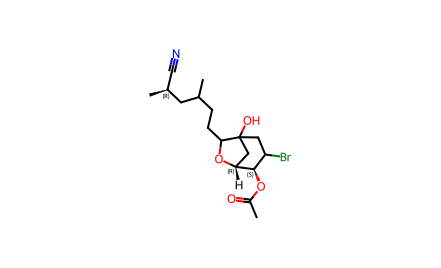 CC(=O)O[C@@H]1C(Br)CC2(O)C[C@H]1OC2CCC(C)C[C@@H](C)C#N